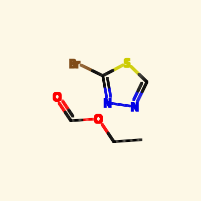 Brc1nncs1.CCOC=O